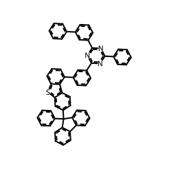 c1ccc(-c2cccc(-c3nc(-c4ccccc4)nc(-c4cccc(-c5cccc6sc7cc(C8(c9ccccc9)c9ccccc9-c9ccccc98)ccc7c56)c4)n3)c2)cc1